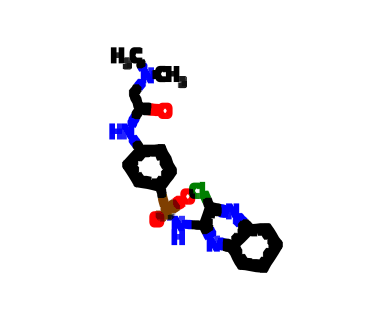 CN(C)CC(=O)Nc1ccc(S(=O)(=O)Nc2nc3ccccc3nc2Cl)cc1